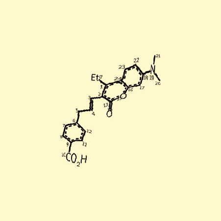 CCc1c(/C=C/Cc2ccc(C(=O)O)cc2)c(=O)oc2cc(N(C)C)ccc12